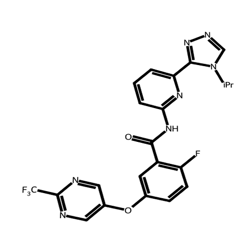 CC(C)n1cnnc1-c1cccc(NC(=O)c2cc(Oc3cnc(C(F)(F)F)nc3)ccc2F)n1